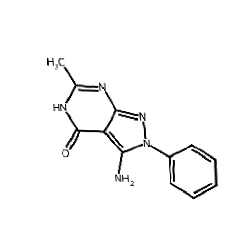 Cc1nc2nn(-c3ccccc3)c(N)c2c(=O)[nH]1